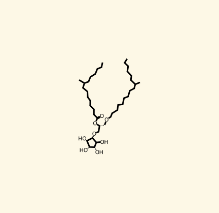 CCCCCCC(C)CCCCCCCCCOC[C@H](CO[C@@H]1C(O)[C@@H](O)[C@@H](O)C1O)OC(=O)CCCCCCCC(C)CCCCCC